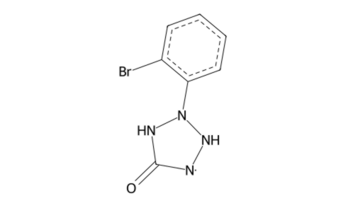 O=C1[N]NN(c2ccccc2Br)N1